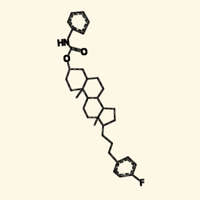 CC12CCC3C(CCC4CC(OC(=O)Nc5ccccc5)CCC43C)C1CCC2CCCc1ccc(F)cc1